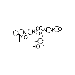 Cc1cc(CC(OC(=O)N2CCC(N3CCc4ccccc4NC3=O)CC2)C(=O)N2CCN(C3CCOCC3)CC2)cc(C)c1O